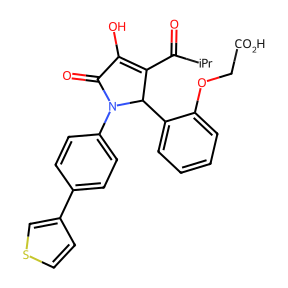 CC(C)C(=O)C1=C(O)C(=O)N(c2ccc(-c3ccsc3)cc2)C1c1ccccc1OCC(=O)O